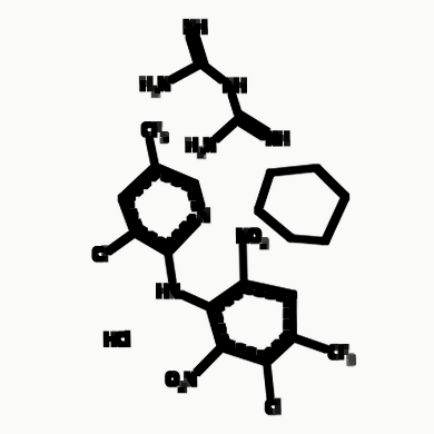 C1CCCCC1.Cl.N=C(N)NC(=N)N.O=[N+]([O-])c1cc(C(F)(F)F)c(Cl)c([N+](=O)[O-])c1Nc1ncc(C(F)(F)F)cc1Cl